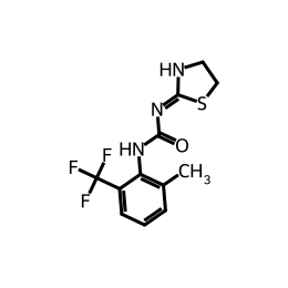 Cc1cccc(C(F)(F)F)c1NC(=O)N=C1NCCS1